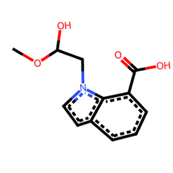 COC(O)Cn1ccc2cccc(C(=O)O)c21